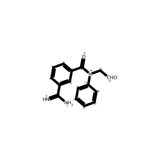 N=C(N)c1cccc(C(=O)N(C[C]=O)c2ccccc2)c1